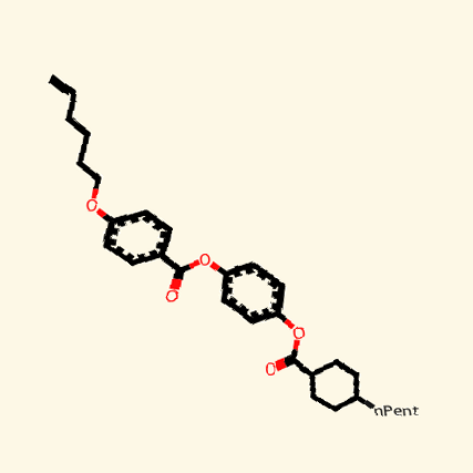 C=CCCCCOc1ccc(C(=O)Oc2ccc(OC(=O)C3CCC(CCCCC)CC3)cc2)cc1